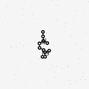 c1ccc(-c2ccc(-c3cc(-c4cccc(-c5cccc(-c6ccc7c(c6)nc(-c6cccc8ccccc68)c6sc8ccccc8c67)c5)c4)nc(-c4ccccc4)n3)cc2)cc1